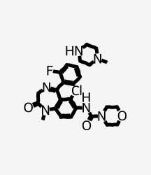 CN1C(=O)CN=C(c2ccccc2F)c2c1ccc(NC(=O)N1CCOCC1)c2Cl.CN1CCNCC1